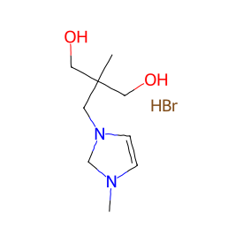 Br.CN1C=CN(CC(C)(CO)CO)C1